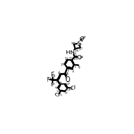 Cc1cc(C(=O)/C=C(\c2cc(Cl)cc(Cl)c2)C(F)(F)F)ccc1C(=O)NC1C[S+]([O-])C1